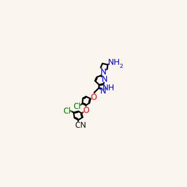 N#Cc1cc(Cl)cc(Oc2cc(OCc3n[nH]c4nc(N5CCC(N)C5)ccc34)ccc2Cl)c1